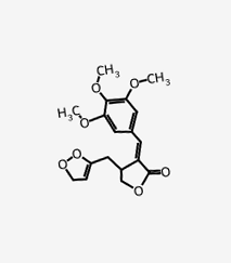 COc1cc(C=C2C(=O)OCC2CC2=CCOO2)cc(OC)c1OC